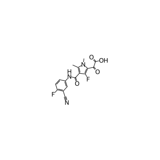 Cc1c(C(=O)Nc2ccc(F)c(C#N)c2)c(F)c(C(=O)C(=O)O)n1C